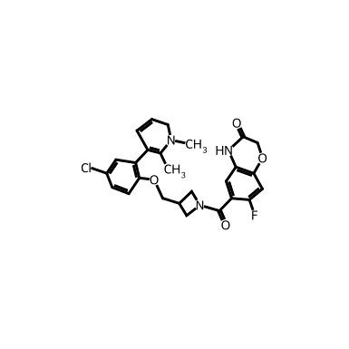 CC1=C(c2cc(Cl)ccc2OCC2CN(C(=O)c3cc4c(cc3F)OCC(=O)N4)C2)C=CCN1C